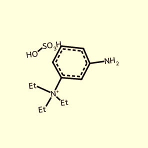 CC[N+](CC)(CC)c1cccc(N)c1.O=S(=O)(O)O